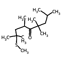 CSC(C)(C)CC(C)C(=O)C(C)(C)CC(C)C